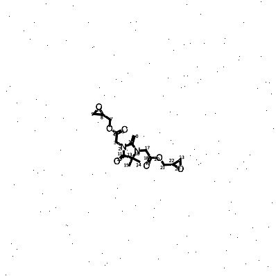 C=C1N(CC(=O)OCC2CO2)C(=O)C(C)(C)N1CC(=O)OCC1CO1